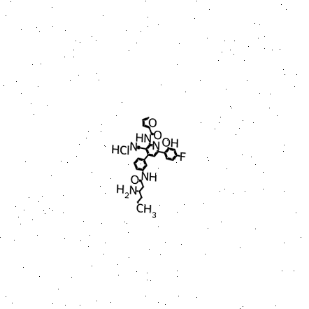 CCCC(N)CC(=O)Nc1cccc(-c2cc(-c3ccc(F)cc3O)nc(NC(=O)c3ccco3)c2C#N)c1.Cl